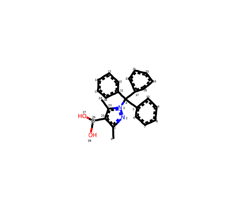 Cc1nn(C(c2ccccc2)(c2ccccc2)c2ccccc2)c(C)c1B(O)O